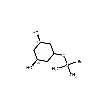 CC(C)(C)[Si](C)(C)OC1C[C@@H](O)C[C@@H](O)C1